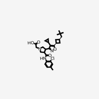 Cc1ccc(NC(=O)C2CN(CC(=O)O)CC2c2noc([C@H]3C[C@@H](CC(C)(C)C)C3)c2C2CC2)c(Cl)c1